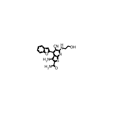 N#Cc1c(NCCO)nc2sc(C(N)=O)c(N)c2c1-c1cc2ccccc2o1